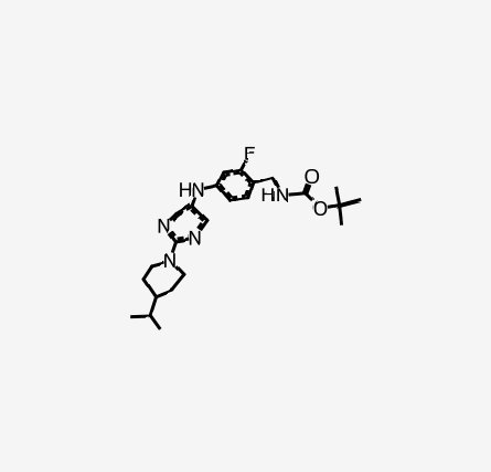 CC(C)C1CCN(c2ncc(Nc3ccc(CNC(=O)OC(C)(C)C)c(F)c3)cn2)CC1